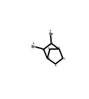 BrC1C2CCC(C2)C1Br